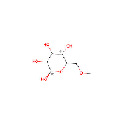 COCC1O[C@@H](O)C(O)C(O)[C@@H]1O